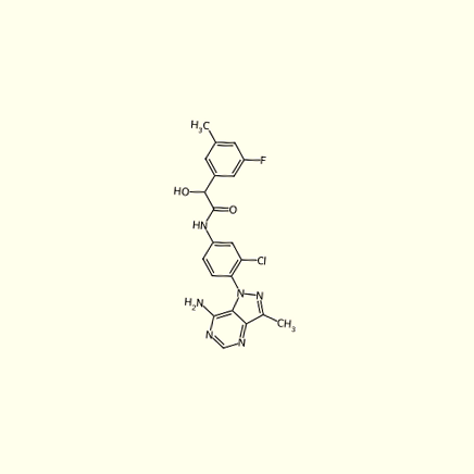 Cc1cc(F)cc(C(O)C(=O)Nc2ccc(-n3nc(C)c4ncnc(N)c43)c(Cl)c2)c1